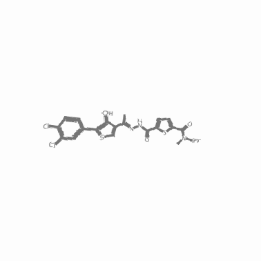 C/C(=N\NC(=O)c1ccc(C(=O)N(C)C(C)C)s1)c1csc(-c2ccc(Cl)c(Cl)c2)c1O